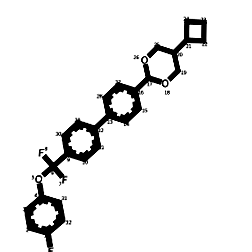 Fc1ccc(OC(F)(F)c2ccc(-c3ccc(C4OCC(C5CCC5)CO4)cc3)cc2)cc1